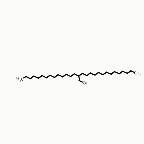 CCCCCCCCCCCCCCC([CH]O)CCCCCCCCCCCCCC